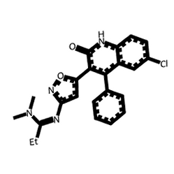 CCC(=Nc1cc(-c2c(-c3ccccc3)c3cc(Cl)ccc3[nH]c2=O)on1)N(C)C